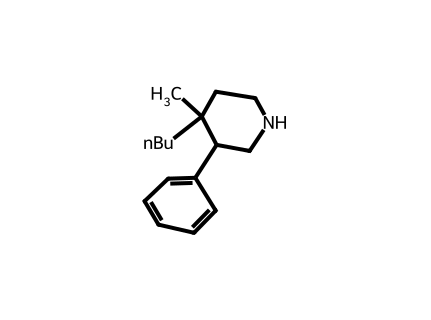 CCCCC1(C)CCNCC1c1ccccc1